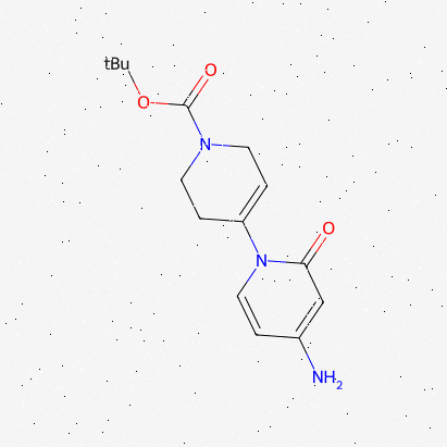 CC(C)(C)OC(=O)N1CC=C(n2ccc(N)cc2=O)CC1